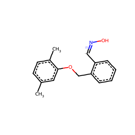 Cc1ccc(C)c(OCc2ccccc2/[C]=N\O)c1